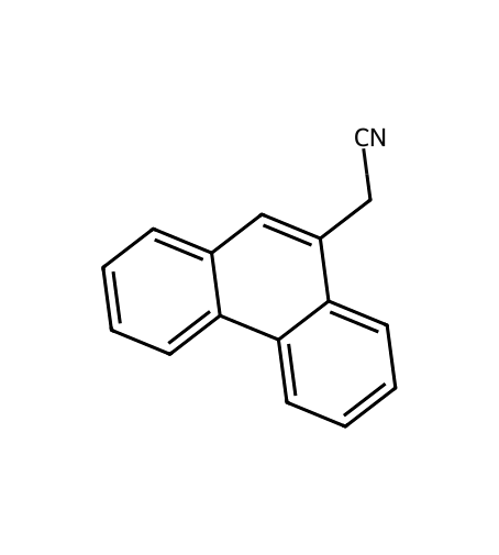 N#CCc1cc2ccccc2c2ccccc12